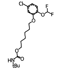 CC(C)(C)NC(=O)OCCCCCCOc1cc(Cl)ccc1OC(F)F